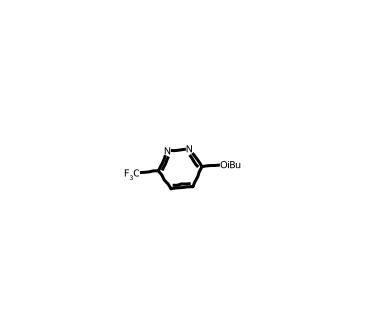 CC(C)COc1ccc(C(F)(F)F)nn1